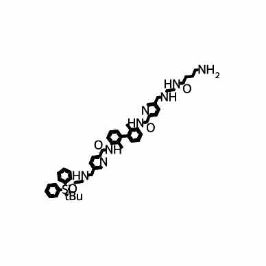 Cc1c(NC(=O)c2ccc(CNCCNC(=O)CCCN)cn2)cccc1-c1cccc(NC(=O)c2ccc(CNCCO[Si](c3ccccc3)(c3ccccc3)C(C)(C)C)cn2)c1C